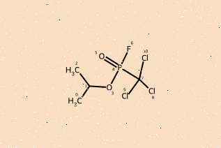 CC(C)OP(=O)(F)C(Cl)(Cl)Cl